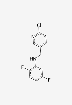 Fc1ccc(F)c(NCc2ccc(Cl)nc2)c1